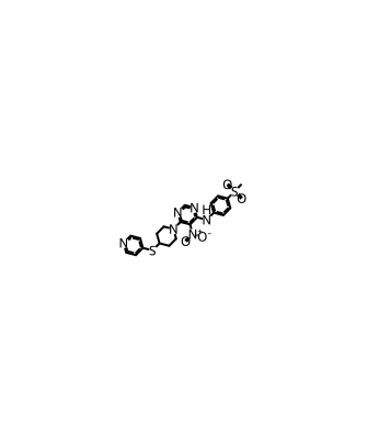 CS(=O)(=O)c1ccc(Nc2ncnc(N3CCC(Sc4ccncc4)CC3)c2[N+](=O)[O-])cc1